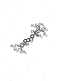 CCCC(=O)N(Cc1nc2ccc3cc4c(cc3c2[nH]1)OCc1cc(-c2c(Cl)nc(CN(C(=O)CC(C)OC)[C@@H](C)CC)n2N)ccc1-4)[C@@H](C)CC